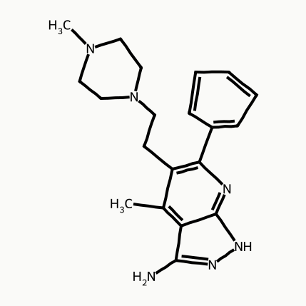 Cc1c(CCN2CCN(C)CC2)c(-c2ccccc2)nc2[nH]nc(N)c12